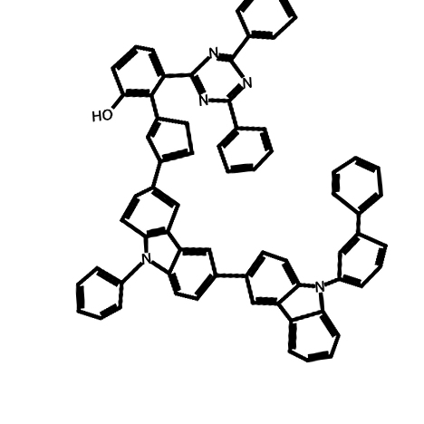 Oc1cccc(-c2nc(-c3ccccc3)nc(-c3ccccc3)n2)c1C1=CC(c2ccc3c(c2)c2cc(-c4ccc5c(c4)c4ccccc4n5-c4cccc(-c5ccccc5)c4)ccc2n3-c2ccccc2)=CC1